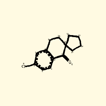 O=C1c2ccc(Cl)cc2CCC12CCCC2